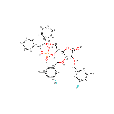 Cc1cc(F)cc(COC2=C(OCc3cc(C)cc(F)c3)[C@@H]([C@H](CO)OP(=O)(OCc3ccccc3)OCc3ccccc3)OC2=O)c1